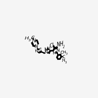 Cc1cccc(-c2nc(N)c(Cl)c(-c3cn(Cc4cnc(N5CCN(C)CC5)s4)nn3)n2)c1C